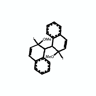 COC1(I)C=Cc2ccccc2C1C1c2ccccc2C=CC1(I)OC